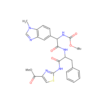 COC(=O)c1csc(NC(=O)C(Cc2ccccc2)NC(=O)C(NC(=O)OC(C)(C)C)c2ccc3c(c2)ncn3C)n1